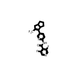 O=C(Nc1ccc(C2=C(C(F)(F)F)CC3CCCC23)cn1)c1c(F)cncc1F